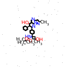 Cc1cc2ncc3c(O)c(-c4ccccc4)c(-c4ccc(C5(NC(=O)OC(C)(C)C)CC(C)(O)C5)cc4)nc3n2n1